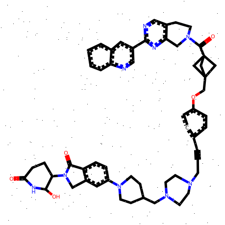 O=C1CCC(N2Cc3cc(N4CCC(CN5CCN(CC#Cc6ccc(OCC78CC(C(=O)N9CCc%10cnc(-c%11cnc%12ccccc%12c%11)nc%10C9)(C7)C8)cc6)CC5)CC4)ccc3C2=O)C(O)N1